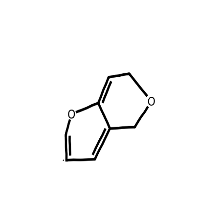 [C]1=COC2=CCOCC2=C1